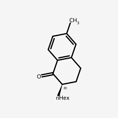 CCCCCC[C@@H]1CCc2cc(C)ccc2C1=O